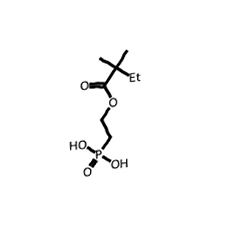 CCC(C)(C)C(=O)OCCP(=O)(O)O